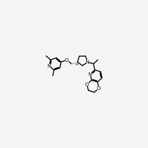 Cc1cc(OC[C@@H]2CCN(C(C)c3ccc4c(n3)OCCO4)C2)cc(C)n1